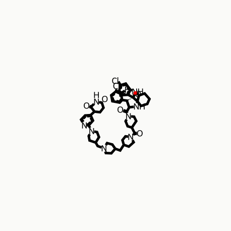 O=C1CCC(c2ccnc(N3CCC(CN4CCC(CC5CCN(C(=O)C6CCN(C(=O)C7NC8(CCCCC8)[C@@]8(C(=O)Nc9cc(Cl)ccc98)C7c7cccc(Cl)c7F)CC6)CC5)CC4)CC3)c2)C(=O)N1